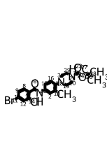 Cc1cc(NC(=O)c2ccc(Br)cc2Cl)ccc1N1CCN(C(=O)OC(C)(C)C)CC1